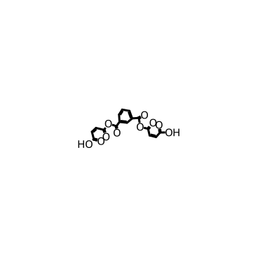 O=C(O)/C=C\C(=O)OC(=O)c1cccc(C(=O)OC(=O)/C=C\C(=O)O)c1